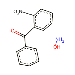 NO.O=C(c1ccccc1)c1ccccc1[N+](=O)[O-]